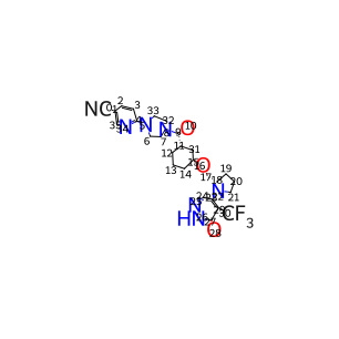 N#Cc1ccc(N2CCN(C(=O)[C@H]3CCC[C@H](OC[C@@H]4CCCN4c4cn[nH]c(=O)c4C(F)(F)F)C3)CC2)nc1